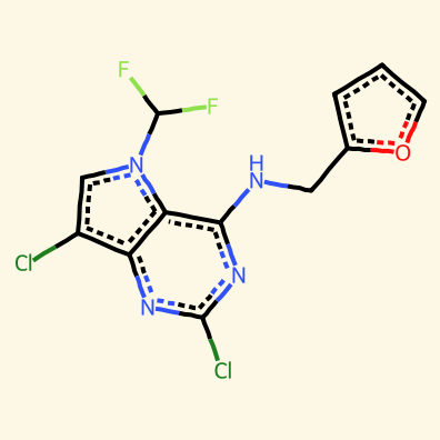 FC(F)n1cc(Cl)c2nc(Cl)nc(NCc3ccco3)c21